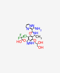 CC(NC(=O)c1c(N)nn2cccnc12)c1cc(Cl)c2cn[nH]c2c1OCC(O)CO.O=C(O)C(F)(F)F